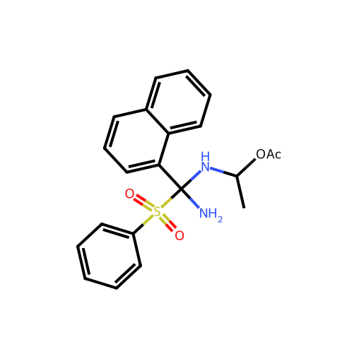 CC(=O)OC(C)NC(N)(c1cccc2ccccc12)S(=O)(=O)c1ccccc1